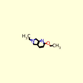 CCOc1ccc2c(n1)CN(CC)C2